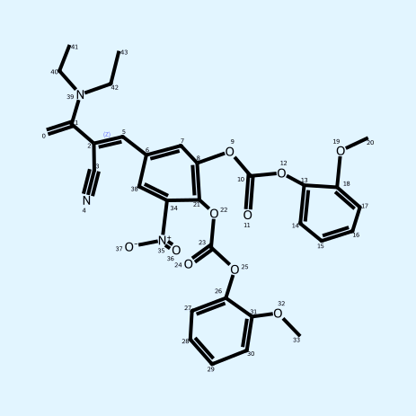 C=C(/C(C#N)=C/c1cc(OC(=O)Oc2ccccc2OC)c(OC(=O)Oc2ccccc2OC)c([N+](=O)[O-])c1)N(CC)CC